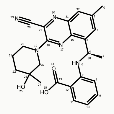 Cc1cc([C@@H](C)Nc2ccccc2C(=O)O)c2nc(N3CCCC(C)(O)C3)c(C#N)nc2c1